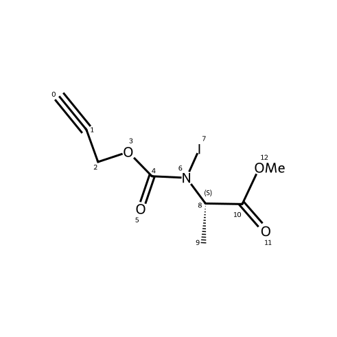 C#CCOC(=O)N(I)[C@@H](C)C(=O)OC